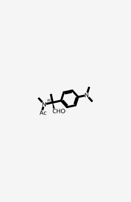 CC(=O)N(C)[C@@](C)([C]=O)c1ccc(N(C)C)cc1